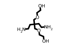 NCCC(CCN)(COCCO)COCCO